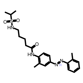 Cc1ccccc1/N=N/c1ccc(NC(=O)CCCCNS(=O)(=O)C(C)C)c(C)c1